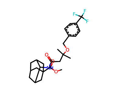 COC(=O)C12CC3CC(C1)C(NC(=O)CC(C)(C)OCc1ccc(C(F)(F)F)cc1)C(C3)C2